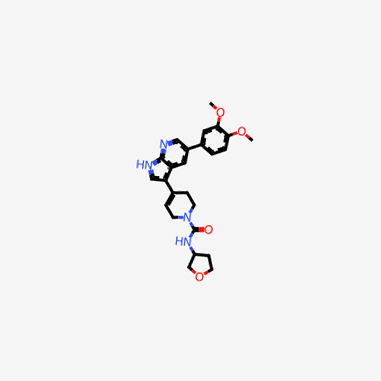 COc1ccc(-c2cnc3[nH]cc(C4=CCN(C(=O)NC5CCOC5)CC4)c3c2)cc1OC